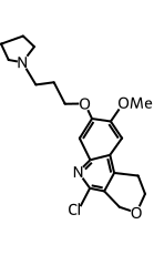 COc1cc2c3c(c(Cl)nc2cc1OCCCN1CCCC1)COCC3